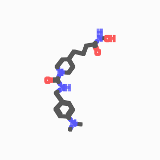 CN(C)c1ccc(CNC(=O)N2CCC(CCCC(=O)NO)CC2)cc1